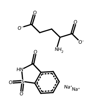 NC(CCC(=O)[O-])C(=O)[O-].O=C1NS(=O)(=O)c2ccccc21.[Na+].[Na+]